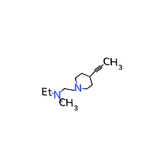 CC#CC1CCN(CCN(C)CC)CC1